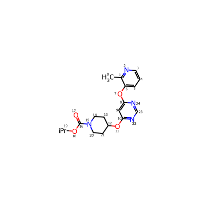 Cc1ncccc1Oc1cc(OC2CCN(C(=O)OC(C)C)CC2)ncn1